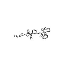 COCCOC(=O)Nc1cccc(C=CC(=O)c2c(N3CCCCC3)c3ccccc3oc2=O)c1